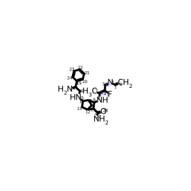 C=C/N=C\C(F)=C(/C)NC1C2CC(CC2NCC(N)c2ccccc2)C1C(N)=O